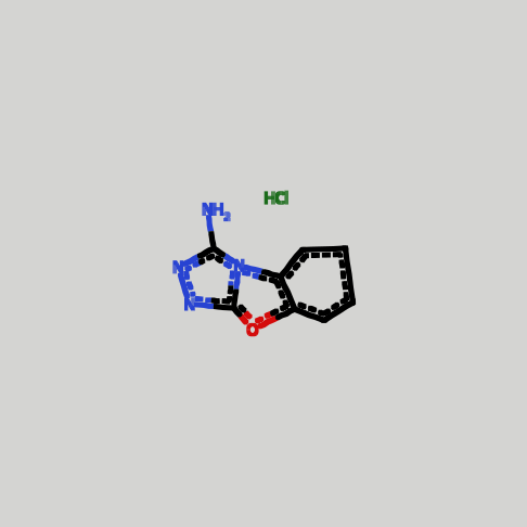 Cl.Nc1nnc2oc3ccccc3n12